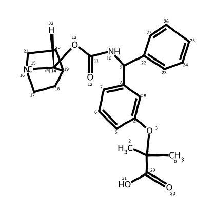 CC(C)(Oc1cccc(C(NC(=O)O[C@H]2CN3CCC2CC3)c2ccccc2)c1)C(=O)O